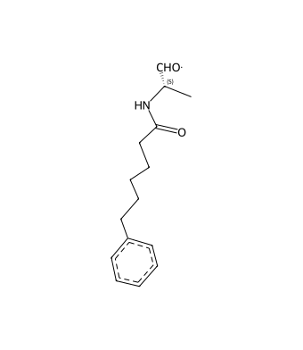 C[C@@H]([C]=O)NC(=O)CCCCCc1ccccc1